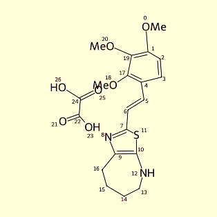 COc1ccc(C=Cc2nc3c(s2)NCCCC3)c(OC)c1OC.O=C(O)C(=O)O